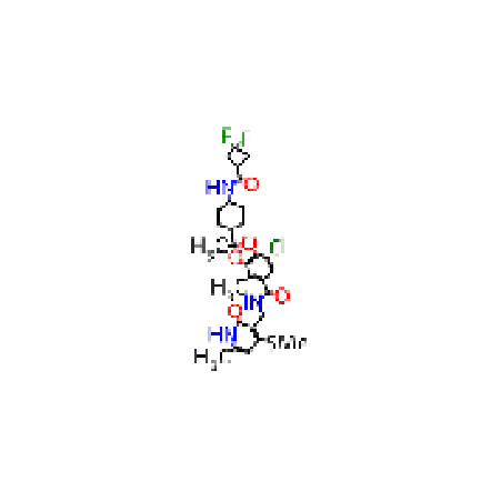 CSc1cc(C)[nH]c(=O)c1CNC(=O)c1cc(Cl)c2c(c1C)OC(C)(C1CCC(NC(=O)C3CC(F)(F)C3)CC1)O2